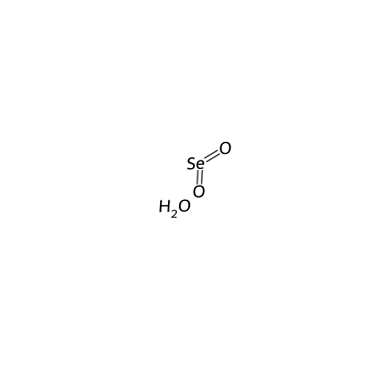 O.O=[Se]=O